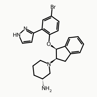 N[C@@H]1CCCN([C@@H]2Cc3ccccc3[C@@H]2Oc2ccc(Br)cc2-c2cc[nH]n2)C1